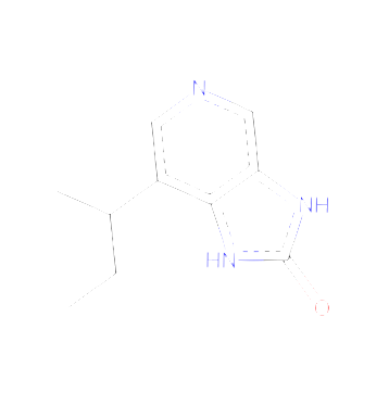 CCC(C)c1cncc2[nH]c(=O)[nH]c12